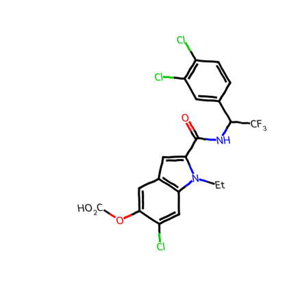 CCn1c(C(=O)NC(c2ccc(Cl)c(Cl)c2)C(F)(F)F)cc2cc(OC(=O)O)c(Cl)cc21